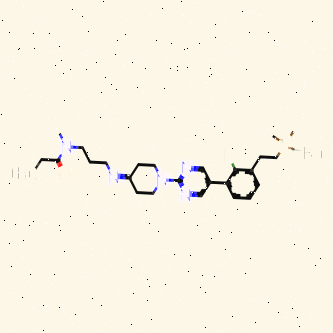 CN(CCCN=C1CCN(c2ncc(-c3cccc(CCS(C)(C)C(C)(C)C)c3F)cn2)CC1)C(=O)CC(C)(C)C